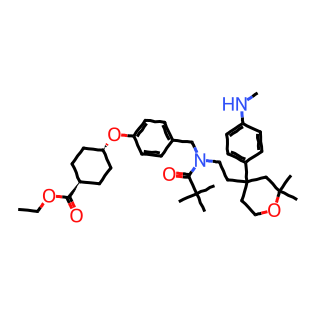 CCOC(=O)[C@H]1CC[C@H](Oc2ccc(CN(CCC3(c4ccc(NC)cc4)CCOC(C)(C)C3)C(=O)C(C)(C)C)cc2)CC1